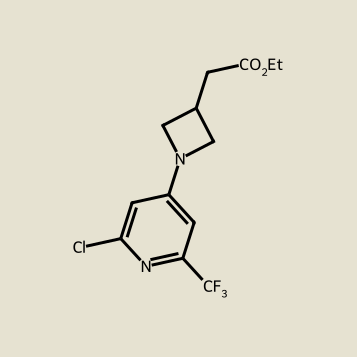 CCOC(=O)CC1CN(c2cc(Cl)nc(C(F)(F)F)c2)C1